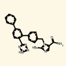 CCCCc1ncc(C(N)=O)n1Cc1ccc(-c2cc(-c3ccccc3)ccc2-c2nn[nH]n2)cc1